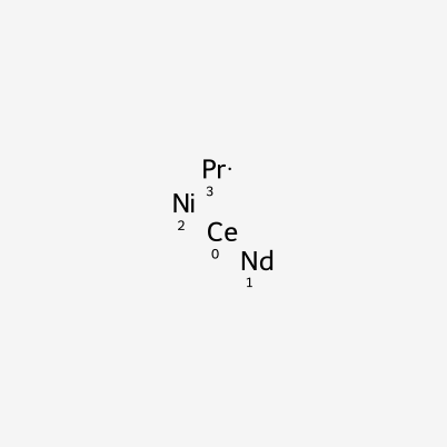 [Ce].[Nd].[Ni].[Pr]